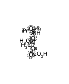 Cc1c(C)n(Cc2ccc(-c3ccccc3C(=O)O)cc2)c2ccc(C(=O)N[C@@H](c3cccc(C(C)C)c3)C3CC3)cc12